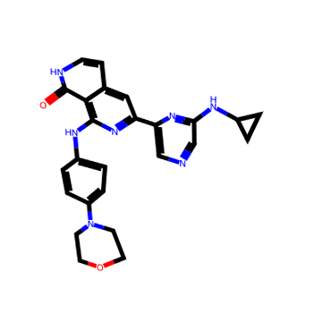 O=c1[nH]ccc2cc(-c3cncc(NC4CC4)n3)nc(Nc3ccc(N4CCOCC4)cc3)c12